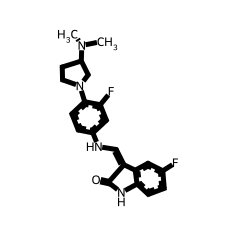 CN(C)C1CCN(c2ccc(N/C=C3\C(=O)Nc4ccc(F)cc43)cc2F)C1